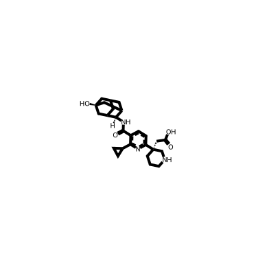 O=C(O)C[C@@]1(c2ccc(C(=O)N[C@H]3C4CC5CC3C[C@@](O)(C5)C4)c(C3CC3)n2)CCCNC1